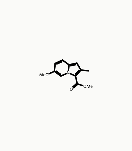 COC(=O)c1c(C)cc2ccc(OC)cn12